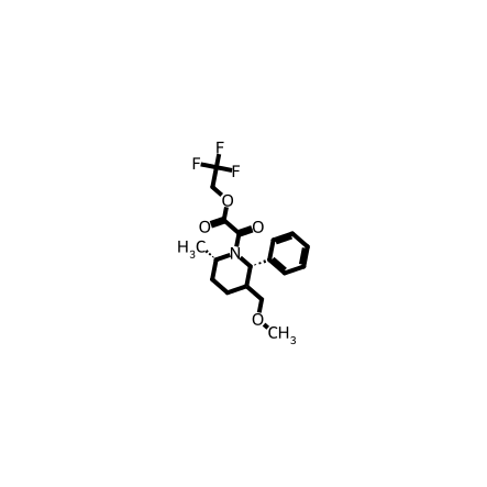 COCC1CC[C@H](C)N(C(=O)C(=O)OCC(F)(F)F)[C@@H]1c1ccccc1